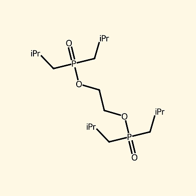 CC(C)CP(=O)(CC(C)C)OCCOP(=O)(CC(C)C)CC(C)C